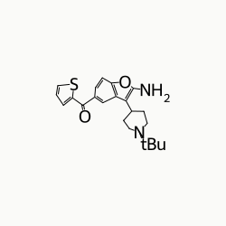 CC(C)(C)N1CCC(c2c(N)oc3ccc(C(=O)c4cccs4)cc23)CC1